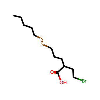 CCCCCSSCCCC(CCBr)C(=O)O